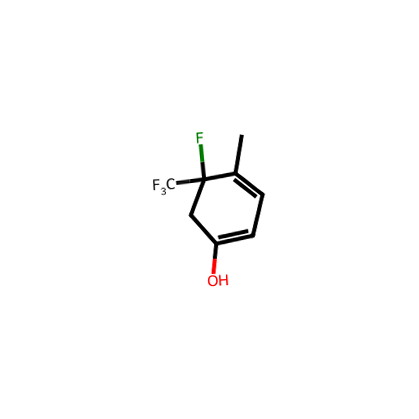 CC1=CC=C(O)CC1(F)C(F)(F)F